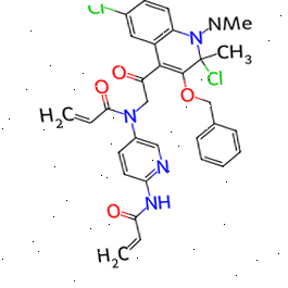 C=CC(=O)Nc1ccc(N(CC(=O)C2=C(OCc3ccccc3)C(C)(Cl)N(NC)c3ccc(Cl)cc32)C(=O)C=C)cn1